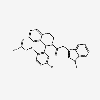 Cn1cc(CC(=O)N2CCc3ccccc3C2c2cc(F)ccc2OCC(=O)O)c2ccccc21